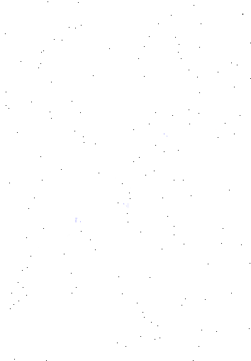 COc1ccc(-c2cc3[nH]c(CNC(=O)[C@@H]4CCCO4)cc3cc2Cl)nc1F